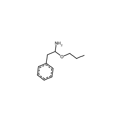 CCCOC(N)Cc1ccccc1